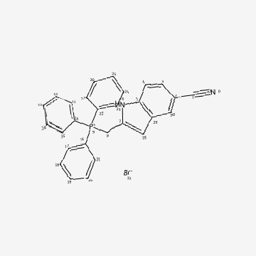 N#Cc1ccc2[nH]c(C[P+](c3ccccc3)(c3ccccc3)c3ccccc3)cc2c1.[Br-]